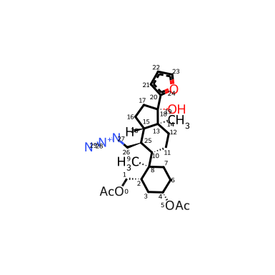 CC(=O)OC[C@H]1C[C@@H](OC(C)=O)CC[C@]1(C)[C@H]1CC[C@@]2(C)[C@@H](CC[C@@]2(O)c2ccco2)[C@@H]1CN=[N+]=[N-]